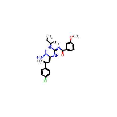 C=C(/C=C(\NN)N/C(=N\C(=O)c1cccc(OC)c1)NC(C)CC)c1ccc(Cl)cc1